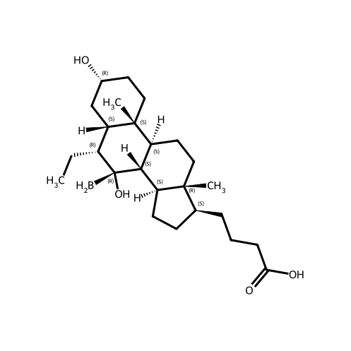 B[C@]1(O)[C@@H]2[C@H](CC[C@]3(C)[C@@H](CCCC(=O)O)CC[C@@H]23)[C@@]2(C)CC[C@@H](O)C[C@H]2[C@H]1CC